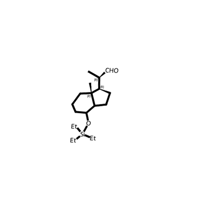 CC[Si](CC)(CC)OC1CCC[C@@]2(C)C1CC[C@@H]2[C@@H](C)C=O